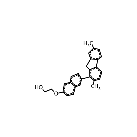 Cc1ccc2c(c1)Cc1c-2ccc(C)c1-c1ccc2cc(OCCO)ccc2c1